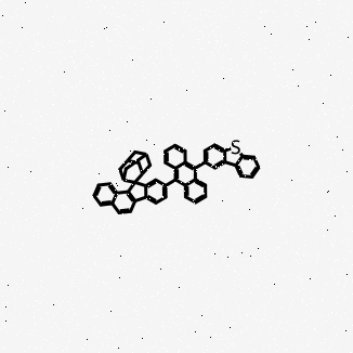 c1ccc2c3c(ccc2c1)-c1ccc(-c2c4ccccc4c(-c4ccc5sc6ccccc6c5c4)c4ccccc24)cc1C31C2CC3CC(C2)CC1C3